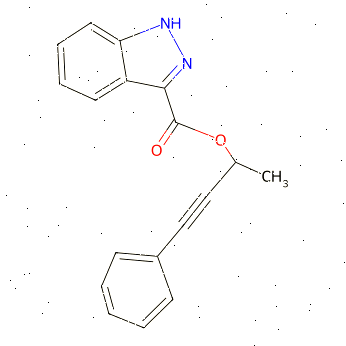 CC(C#Cc1ccccc1)OC(=O)c1n[nH]c2ccccc12